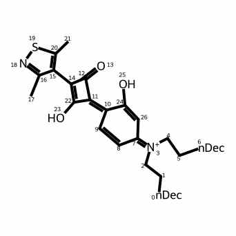 CCCCCCCCCCCC[N+](CCCCCCCCCCCC)=C1C=C/C(=C2/C(=O)C(c3c(C)nsc3C)=C2O)C(O)=C1